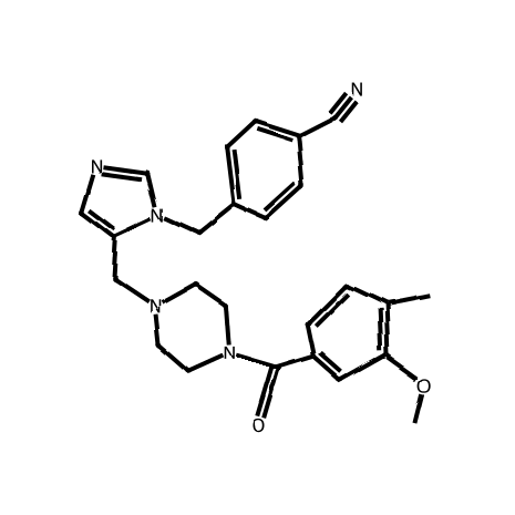 COc1cc(C(=O)N2CCN(Cc3cncn3Cc3ccc(C#N)cc3)CC2)ccc1C